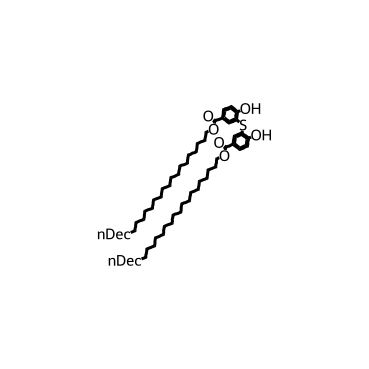 CCCCCCCCCCCCCCCCCCCCCCCCCCCCOC(=O)c1ccc(O)c(Sc2cc(C(=O)OCCCCCCCCCCCCCCCCCCCCCCCCCCCC)ccc2O)c1